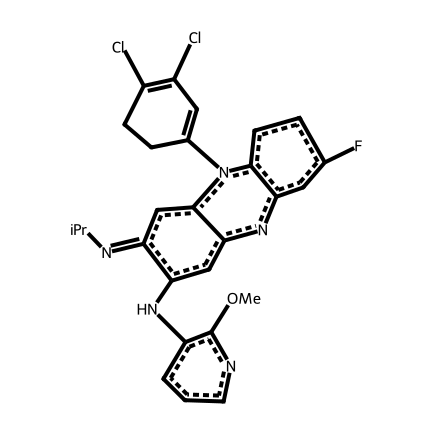 COc1ncccc1Nc1cc2nc3cc(F)ccc3n(C3=CC(Cl)=C(Cl)CC3)c-2c/c1=N\C(C)C